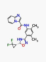 Cc1cc(C)c(C2=NOC([C@@H]3CC3(F)F)N2)cc1NC(=O)c1cnc2ccccn12